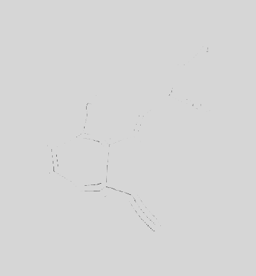 C#Cc1cccc(F)c1/C=C/C(=O)OC